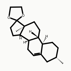 C[C@H]1CC[C@H]2C(=CC[C@@H]3[C@@H]2CC[C@@]2(C)[C@H]3CCC23OCCO3)C1